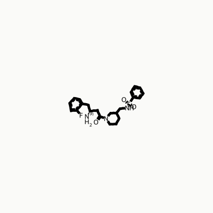 N[C@@H](CC(=O)N1CCCC(CNS(=O)(=O)c2ccccc2)C1)Cc1ccccc1F